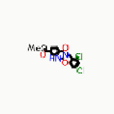 COC(=O)c1ccc2c(=O)n(Cc3ccc(Cl)cc3Cl)c(=O)[nH]c2c1